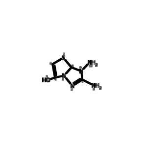 NC1=NN2C(O)=CSC2N1N